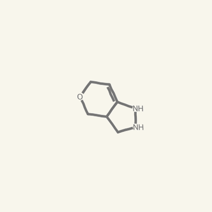 C1=C2NNCC2COC1